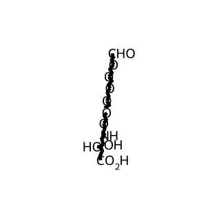 O=CCCOCCOCCOCCOCCOCCOCCNCC(O)C(O)CCC(=O)O